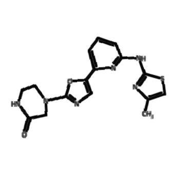 Cc1csc(Nc2cccc(-c3cnc(N4CCNC(=O)C4)o3)n2)n1